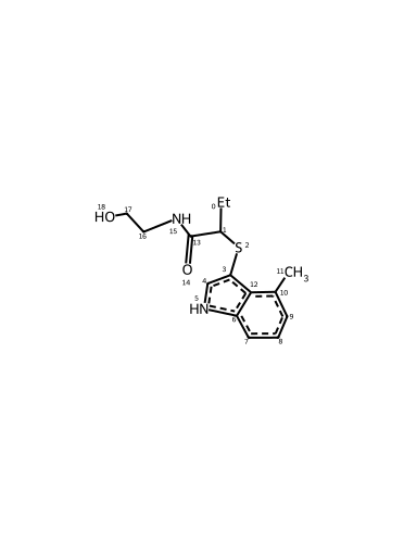 CCC(Sc1c[nH]c2cccc(C)c12)C(=O)NCCO